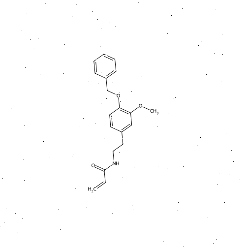 C=CC(=O)NCCc1ccc(OCc2ccccc2)c(OC)c1